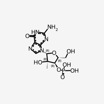 C[C@@]1(O)[C@H](OP(=O)(O)O)[C@@H](CO)O[C@H]1n1cnc2c(=O)[nH]c(N)nc21